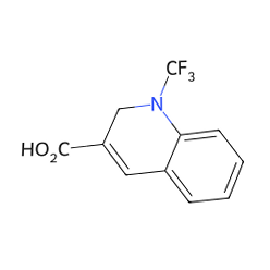 O=C(O)C1=Cc2ccccc2N(C(F)(F)F)C1